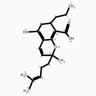 CCCC1CC(O)=C2C=CC(C)(CCC=C(C)C)OC2=C1C(=O)O